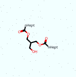 CCCCCCCC(=O)OCC(CO)COC(=O)CCCCCCC